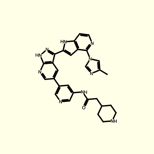 Cc1cn(-c2nccc3[nH]c(-c4n[nH]c5ncc(-c6cncc(NC(=O)CC7CCNCC7)c6)cc45)cc23)cn1